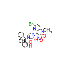 Cc1ccccc1C(c1ccccc1O)N1CCN(c2c([N+](=O)[O-])c(=O)n(C)c3ccc(Br)nc23)CC1